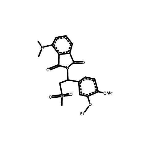 CCOc1cc(C(CS(C)(=O)=O)N2C(=O)c3cccc(N(C)C)c3C2=O)ccc1OC